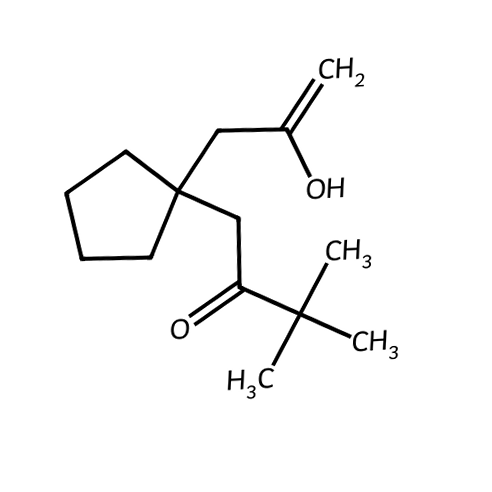 C=C(O)CC1(CC(=O)C(C)(C)C)CCCC1